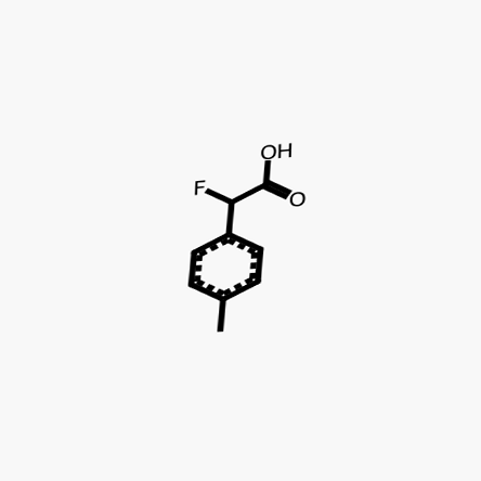 Cc1ccc(C(F)C(=O)O)cc1